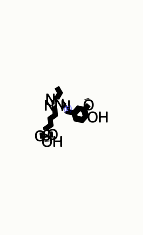 CCc1nnc(CCCCS(=O)(=O)O)n1/N=C/c1ccc(O)c(OC)c1